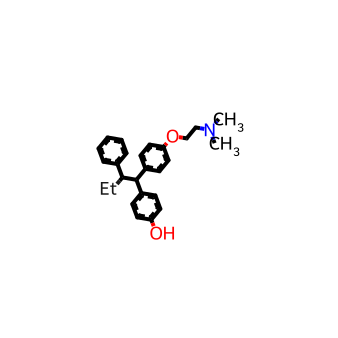 CCC(c1ccccc1)C(c1ccc(O)cc1)c1ccc(OCCN(C)C)cc1